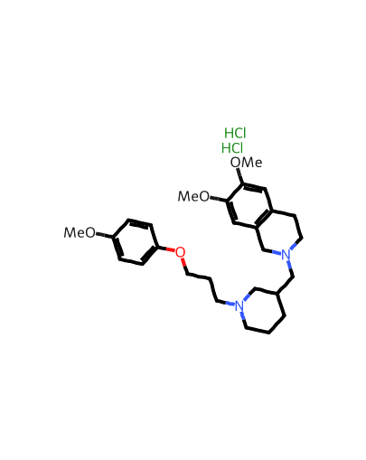 COc1ccc(OCCCN2CCCC(CN3CCc4cc(OC)c(OC)cc4C3)C2)cc1.Cl.Cl